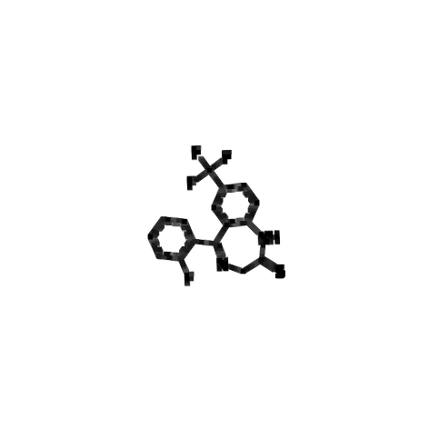 Fc1ccccc1C1=NCC(=S)Nc2ccc(C(F)(F)F)cc21